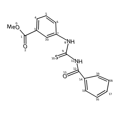 COC(=O)c1cccc(NC(=S)NC(=O)c2ccccc2)c1